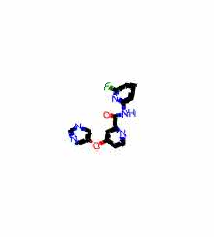 O=C(Nc1cccc(F)n1)c1cc(Oc2cncnc2)ccn1